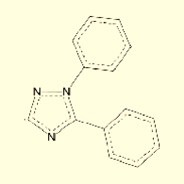 [c]1nc(-c2ccccc2)n(-c2ccccc2)n1